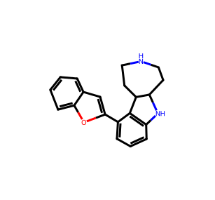 c1cc2c(c(-c3cc4ccccc4o3)c1)C1CCNCCC1N2